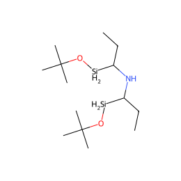 CCC(NC(CC)[SiH2]OC(C)(C)C)[SiH2]OC(C)(C)C